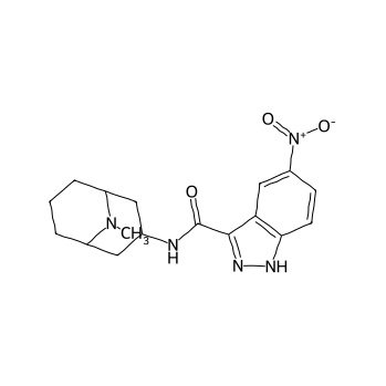 CN1C2CCCC1CC(NC(=O)c1n[nH]c3ccc([N+](=O)[O-])cc13)C2